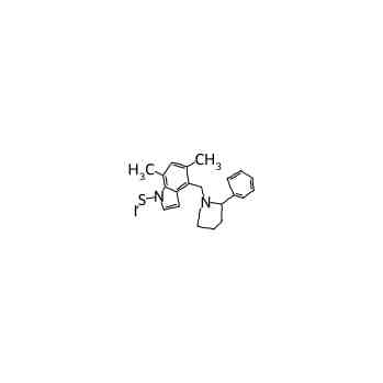 Cc1cc(C)c2c(ccn2SI)c1CN1CCCCC1c1ccccc1